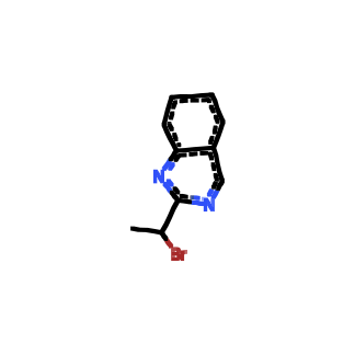 CC(Br)c1ncc2ccccc2n1